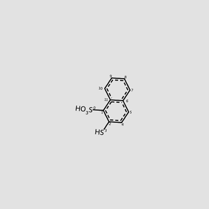 O=S(=O)(O)c1c(S)ccc2ccccc12